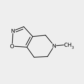 CN1CCc2oncc2C1